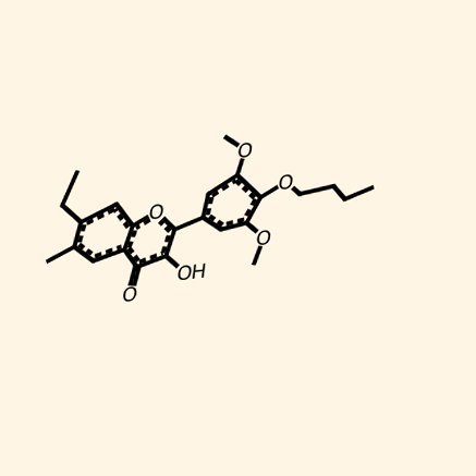 CCCCOc1c(OC)cc(-c2oc3cc(CC)c(C)cc3c(=O)c2O)cc1OC